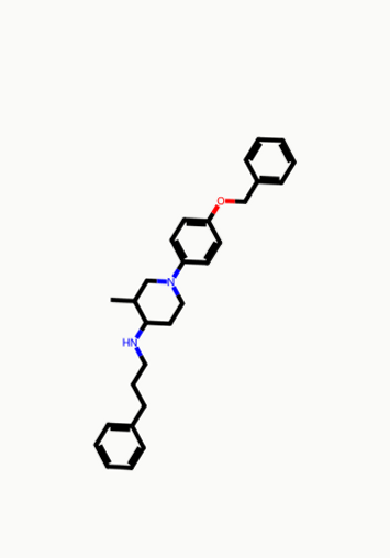 CC1CN(c2ccc(OCc3ccccc3)cc2)CCC1NCCCc1ccccc1